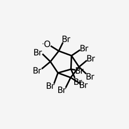 [O]C1(Br)C(Br)(Br)C2(Br)C(Br)(Br)C(Br)(Br)C1(Br)C2(Br)Br